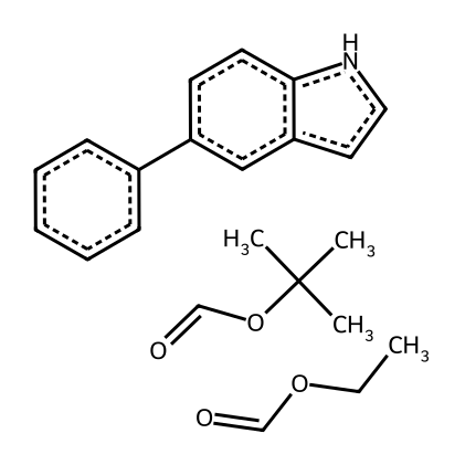 CC(C)(C)OC=O.CCOC=O.c1ccc(-c2ccc3[nH]ccc3c2)cc1